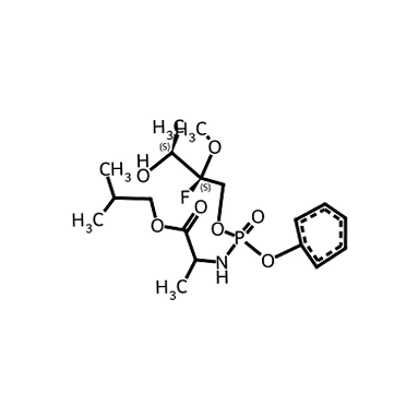 CO[C@](F)(COP(=O)(NC(C)C(=O)OCC(C)C)Oc1ccccc1)[C@H](C)O